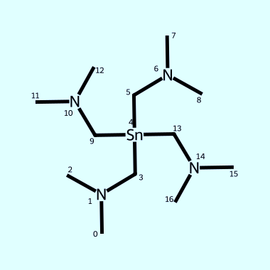 CN(C)[CH2][Sn]([CH2]N(C)C)([CH2]N(C)C)[CH2]N(C)C